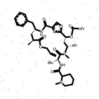 C=CCOC(=O)[C@@H](C)C[C@H](Cc1ccccc1)NC(=O)c1csc([C@@H](C[C@H](C(C)C)N(C)C(=O)[C@@H](NC(=O)C2CCCCN2C)[C@@H](C)CC)OC(=O)CCC)n1